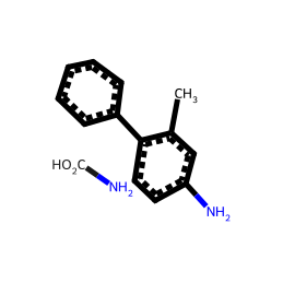 Cc1cc(N)ccc1-c1ccccc1.NC(=O)O